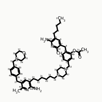 CCCCCc1cc(Cc2ccc(CN3CCN(CCCCCCc4cc(Cc5ccc(CN6CCOCC6)cc5)c(C)nc4N)CC3)cc2OC(C)=O)c(C)nc1N